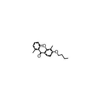 CCCCOc1ccc(C(=O)c2ccccc2C)c(O)c1C